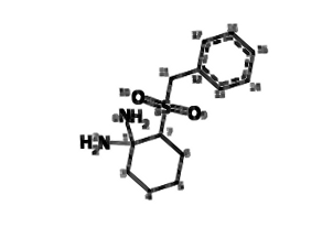 NC1(N)CCCCC1S(=O)(=O)Cc1ccccc1